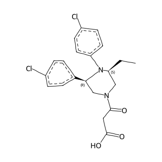 CC[C@H]1CN(C(=O)CC(=O)O)C[C@@H](c2ccc(Cl)cc2)N1c1ccc(Cl)cc1